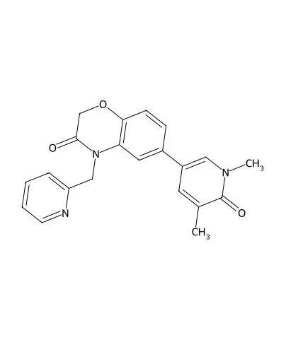 Cc1cc(-c2ccc3c(c2)N(Cc2ccccn2)C(=O)CO3)cn(C)c1=O